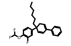 CCCCCCC1(c2ccc(OC(F)F)c(F)c2)C=CC(c2ccccc2)=CC1